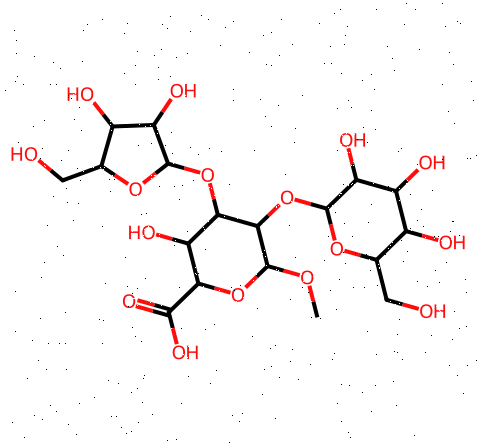 COC1OC(C(=O)O)C(O)C(OC2OC(CO)C(O)C2O)C1OC1OC(CO)C(O)C(O)C1O